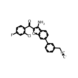 [C-]#[N+]Cc1cccc(-c2ccc3c(N)c(C(=O)c4ccc(F)cc4Cl)oc3c2)c1